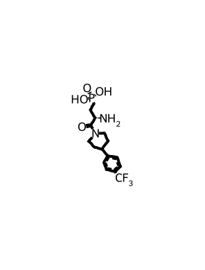 N[C@@H](CCP(=O)(O)O)C(=O)N1CCC(c2ccc(C(F)(F)F)cc2)CC1